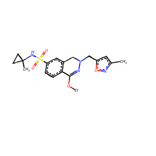 CCOC1=NN(Cc2cc(C)no2)Cc2cc(S(=O)(=O)NC3(C)CC3)ccc21